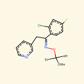 CCCC(CC)(OC)ON=C(Cc1cccnc1)c1ccc(F)cc1Cl